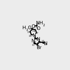 CC1(OC(N)=O)CCN(c2ncc(Br)c(C#N)n2)CC1